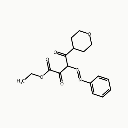 CCOC(=O)C(=O)C(N=Nc1ccccc1)C(=O)C1CCOCC1